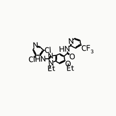 CCOc1cc2c(cc1C(=O)Nc1cc(C(F)(F)F)ccn1)nc(Nc1c(Cl)cncc1Cl)n2CC